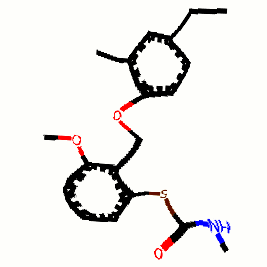 CCc1ccc(OCc2c(OC)cccc2SC(=O)NC)c(C)c1